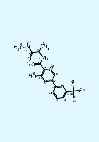 CNC(=O)C(C)NC(=O)c1ncc(-c2cccc(C(F)(F)F)c2)cc1O